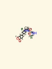 C[C@H]1OC(=O)c2ccc(-c3ccc(C[C@@H](C#N)NC(=O)[C@@H]4CNC[C@@H](F)CO4)c(F)c3)cc21